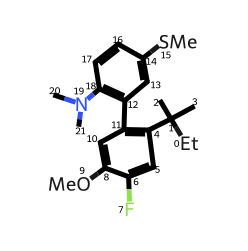 CCC(C)(C)c1cc(F)c(OC)cc1-c1cc(SC)ccc1N(C)C